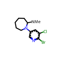 CNC1CCCCCN1c1cnc(Br)c(Cl)c1